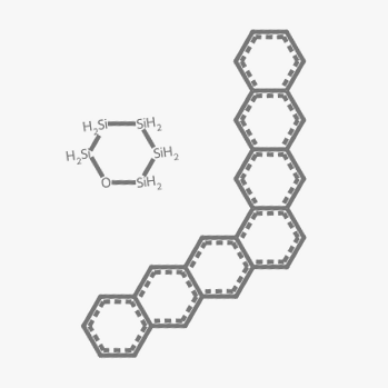 O1[SiH2][SiH2][SiH2][SiH2][SiH2]1.c1ccc2cc3cc4c(ccc5cc6cc7ccccc7cc6cc54)cc3cc2c1